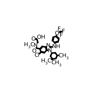 CC1CC(n2c(Nc3ccc(OC(F)(F)F)cc3)nc3cc(C(=O)N(C)CC(=O)O)c(Cl)cc32)CC(C)(C)C1